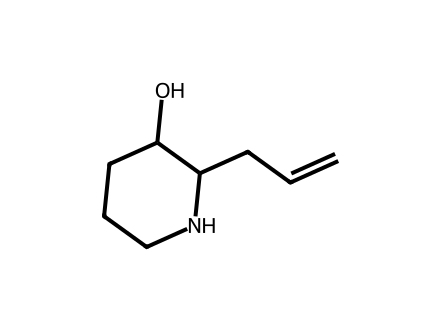 C=CCC1NCCCC1O